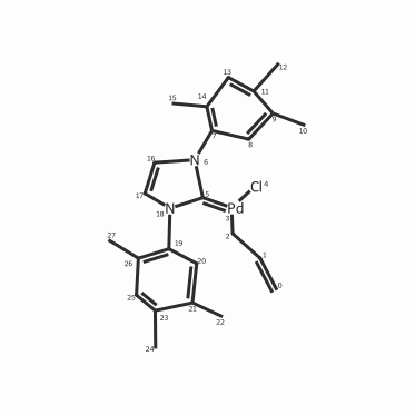 C=C[CH2][Pd]([Cl])=[c]1n(-c2cc(C)c(C)cc2C)ccn1-c1cc(C)c(C)cc1C